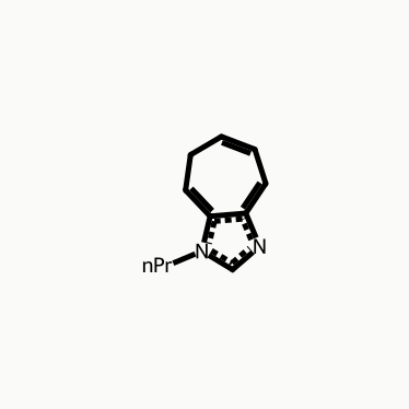 CCCn1cnc2c1=CCC=CC=2